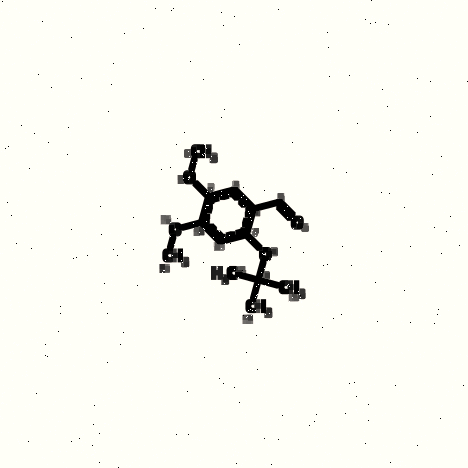 COc1cc(C=O)c(OC(C)(C)C)cc1OC